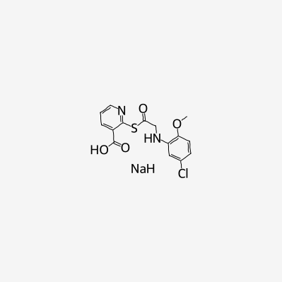 COc1ccc(Cl)cc1NCC(=O)Sc1ncccc1C(=O)O.[NaH]